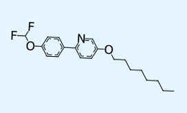 CCCCCCCCOc1ccc(-c2ccc(OC(F)F)cc2)nc1